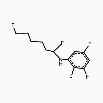 FCCCCCC(F)Nc1cc(F)cc(F)c1F